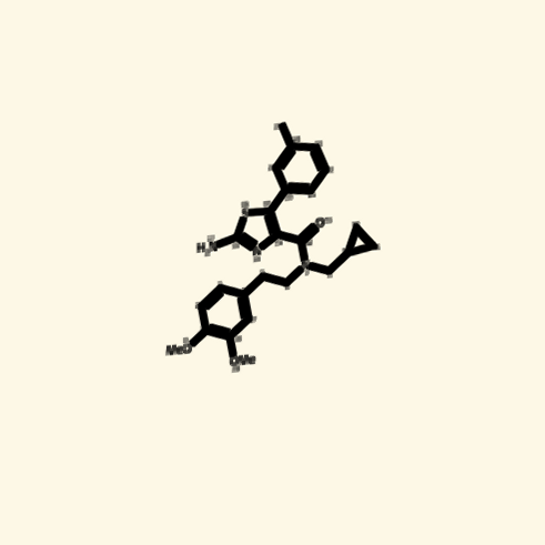 COc1ccc(CCN(CC2CC2)C(=O)c2nc(N)sc2-c2cccc(C)c2)cc1OC